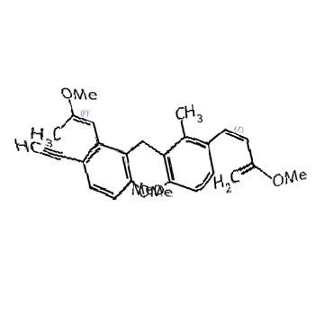 C#Cc1ccc(OC)c(Cc2c(OC)ccc(/C=C\C(=C)OC)c2C)c1/C=C(\C)OC